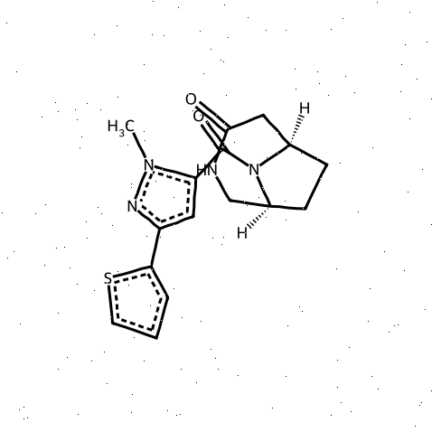 Cn1nc(-c2cccs2)cc1C(=O)N1[C@@H]2CC[C@H]1CNC(=O)C2